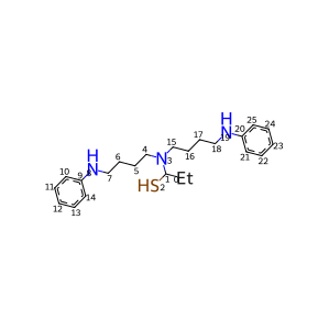 CCC(S)N(CCCCNc1ccccc1)CCCCNc1ccccc1